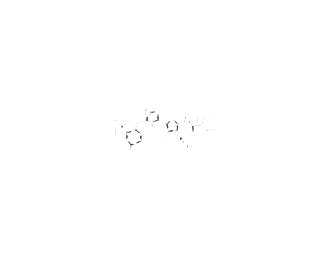 CCC(CC)C(=O)Nc1sc(-c2nc(Cc3ccc(F)cc3C(F)(F)F)no2)c(C)c1C#N